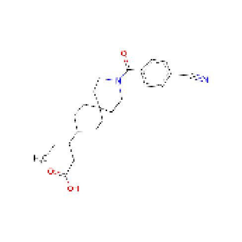 CCC(CC(=O)O)C1CCC2(CC1)CCN(C(=O)c1ccc(C#N)cc1)CC2